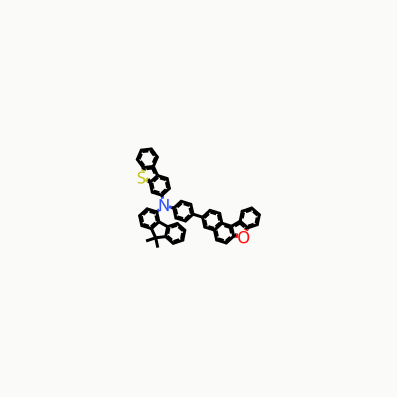 CC1(C)c2ccccc2-c2c(N(c3ccc(-c4ccc5c(ccc6oc7ccccc7c65)c4)cc3)c3ccc4c(c3)sc3ccccc34)cccc21